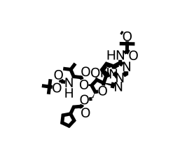 COC(C)(C)C(=O)Nc1ncnn2c([C@]3(C#N)O[C@H](COC(=O)CC4CCCC4)[C@@H](OC(=O)[C@@H](NC(=O)OC(C)(C)C)C(C)C)[C@H]3O)ccc12